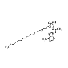 CC(Cn1cnc2c(N)ncnc21)OCP(=O)(O)OCCCOCCCCCCCCCCCCCCCC(F)(F)F